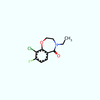 CCN1CCOc2c(ccc(F)c2Cl)C1=O